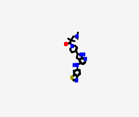 CN(C)CC(C)(C)C(=O)N1CC=C(C2Cc3c(Nc4ccc5ncsc5c4)ccnc3N2)CC1